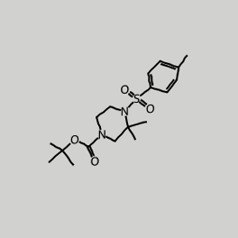 Cc1ccc(S(=O)(=O)N2CCN(C(=O)OC(C)(C)C)CC2(C)C)cc1